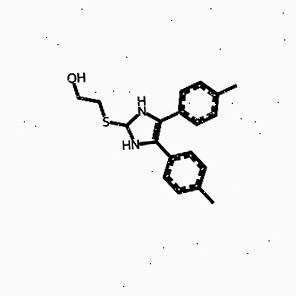 Cc1ccc(C2=C(c3ccc(C)cc3)NC(SCCO)N2)cc1